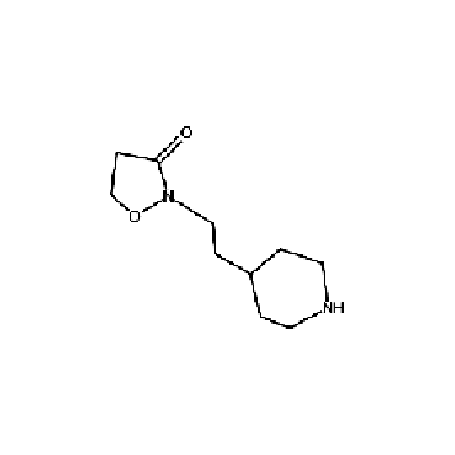 O=C1CCON1CCC1CCNCC1